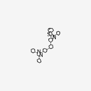 c1ccc(-c2cc(-c3ccccc3)nc(-c3ccc(-c4cccc(-c5ccc6c(c5)nc(-c5ccccc5)c5c7ccccc7sc65)c4)cc3)n2)cc1